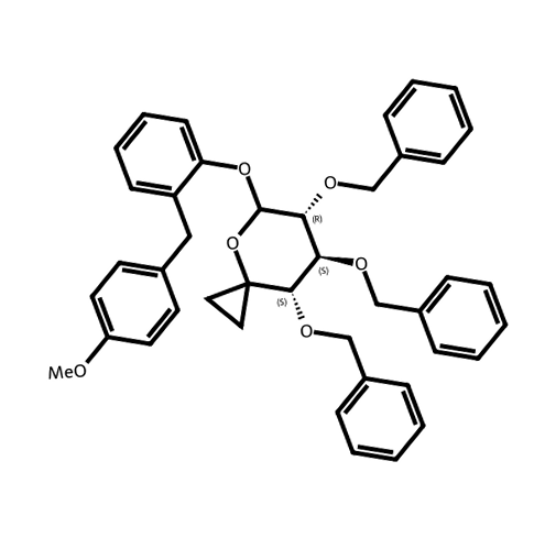 COc1ccc(Cc2ccccc2OC2OC3(CC3)[C@@H](OCc3ccccc3)[C@H](OCc3ccccc3)[C@H]2OCc2ccccc2)cc1